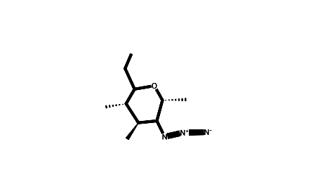 CCC1O[C@H](C)C(N=[N+]=[N-])[C@@H](C)[C@@H]1C